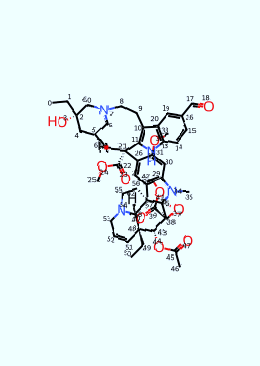 CC[C@]1(O)C[C@H]2CN(CCc3c([nH]c4ccc(C=O)cc34)[C@@](C(=O)OC)(c3cc4c(cc3OC)N(C)[C@@]35O[C@]3(C(=O)OC)[C@H](OC(C)=O)[C@]3(CC)C=CCN6CC[C@]45[C@@H]63)C2)C1